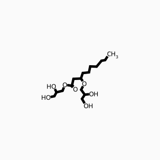 CCCCCCCC(CC(=O)OCC(O)CO)OCC(O)CO